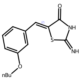 CCCCOc1cccc(/C=C2\SC(=N)NC2=O)c1